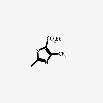 CCOC(=O)c1sc(C)nc1C(F)(F)F